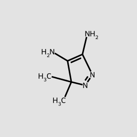 CC1(C)N=NC(N)=C1N